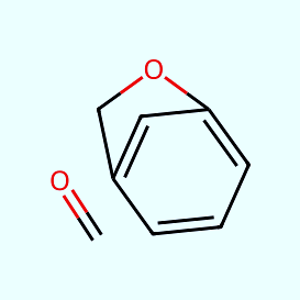 C=O.c1cc2cc(c1)OC2